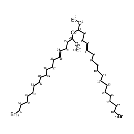 CCOC(CCC=CCCCCCCCCCCCCBr)OC(CCC=CCCCCCCCCCCCCBr)OCC